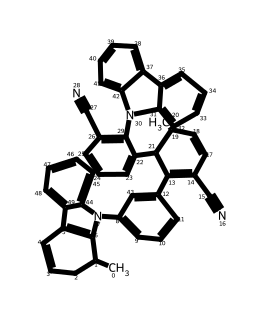 CC1CC=Cc2c1n(-c1cccc(C3=C(C#N)C=CC(C)C3c3cccc(C#N)c3-n3c4ccccc4c4ccccc43)c1)c1ccccc21